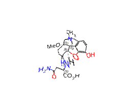 CO[C@@]12CC[C@@H](N[C@@H](CC(N)=O)C(=O)O)[C@@H]3Oc4c(O)ccc5c4[C@@]31CCN(C)C2C5